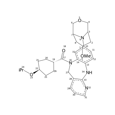 COC1CC2COCC(C1)N2c1ccc2c(c1)N(C(=O)[C@H]1CC[C@H](OC(C)C)CC1)Cc1cccnc1N2